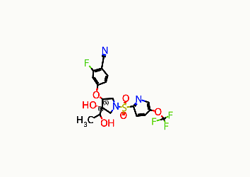 CC(O)[C@]1(O)CN(S(=O)(=O)c2ccc(OC(F)(F)F)cn2)C[C@@H]1Oc1ccc(C#N)c(F)c1